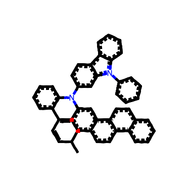 CC1C=CC(c2ccccc2N(c2ccc3ccc4c5ccccc5ccc4c3c2)c2ccc3c4ccccc4n(-c4ccccc4)c3c2)=CC1